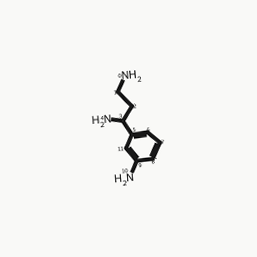 NCCC(N)c1cc[c]c(N)c1